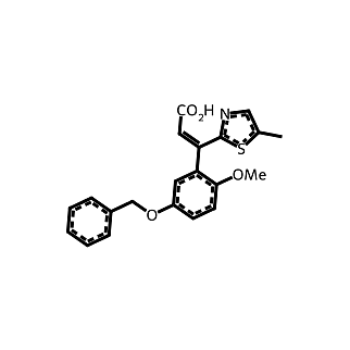 COc1ccc(OCc2ccccc2)cc1C(=CC(=O)O)c1ncc(C)s1